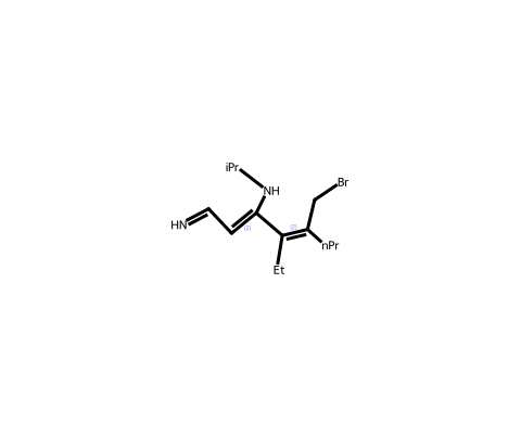 CCC/C(CBr)=C(CC)/C(=C/C=N)NC(C)C